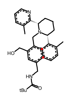 Cc1cccnc1[C@H]1CCC[C@@H](c2ncccc2C)N1Cc1ccc(CNC(=O)C(C)(C)C)cc1CO